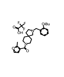 Cc1occc1C(=O)N1CCC2(CCN(Cc3ccccc3OCC(C)C)C2)CC1.O=C(O)C(F)(F)F